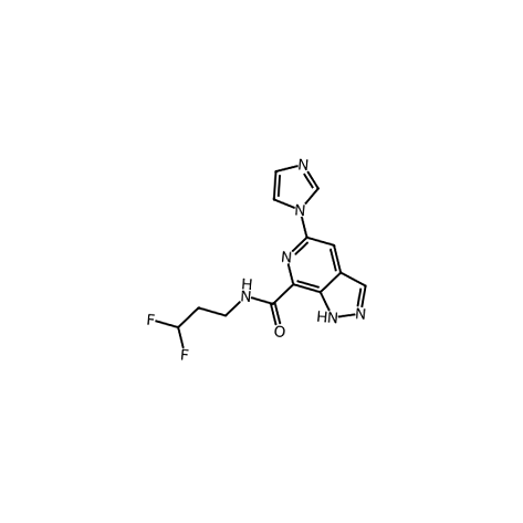 O=C(NCCC(F)F)c1nc(-n2ccnc2)cc2cn[nH]c12